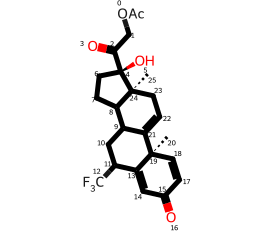 CC(=O)OCC(=O)[C@@]1(O)CCC2C3CC(C(F)(F)F)C4=CC(=O)C=C[C@]4(C)C3=CC[C@@]21C